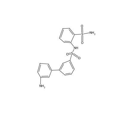 Nc1cccc(-c2cccc(S(=O)(=O)Nc3ccccc3S(N)(=O)=O)c2)c1